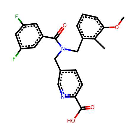 COc1cccc(CN(Cc2ccc(C(=O)O)nc2)C(=O)c2cc(F)cc(F)c2)c1C